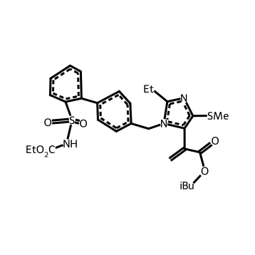 C=C(C(=O)OC(C)CC)c1c(SC)nc(CC)n1Cc1ccc(-c2ccccc2S(=O)(=O)NC(=O)OCC)cc1